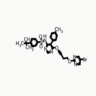 Cc1ccc(-c2c(NS(=O)(=O)c3ccc(C(C)(C)C)cc3)ncnc2OC#CCCOc2ncc(Br)cn2)cc1